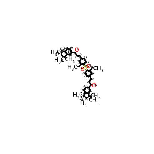 CCc1cc(C=CC(=O)c2ccc3c(c2)C(C)(C)CC3(C)C)ccc1S(=O)(=O)c1ccc(C=CC(=O)c2ccc3c(c2)C(C)(C)CC3(C)C)cc1CC